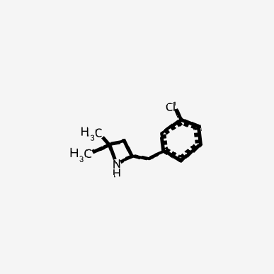 CC1(C)CC(Cc2cccc(Cl)c2)N1